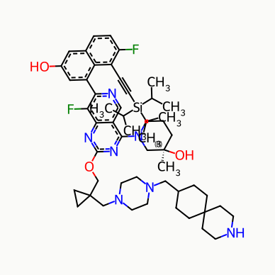 CC(C)[Si](C#Cc1c(F)ccc2cc(O)cc(-c3ncc4c(N5CCC[C@@](C)(O)C5)nc(OCC5(CN6CCN(CC7CCC8(CCNCC8)CC7)CC6)CC5)nc4c3F)c12)(C(C)C)C(C)C